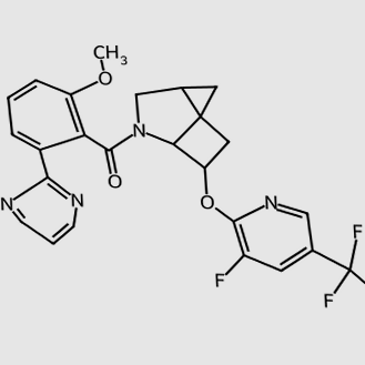 COc1cccc(-c2ncccn2)c1C(=O)N1CC2CC23CC(Oc2ncc(C(F)(F)F)cc2F)C13